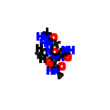 CC(C)(C)NC(=O)NC(C(=O)N1C[C@H]2[C@@H]([C@H]1C(=O)NC(C[C@@H]1CCNC1=O)C(=O)C(=O)NC1CC1)C2(C)C)C(C)(C)C